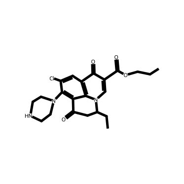 CCCOC(=O)c1cn2c3c(c(N4CCNCC4)c(Cl)cc3c1=O)C(=O)CC2CC